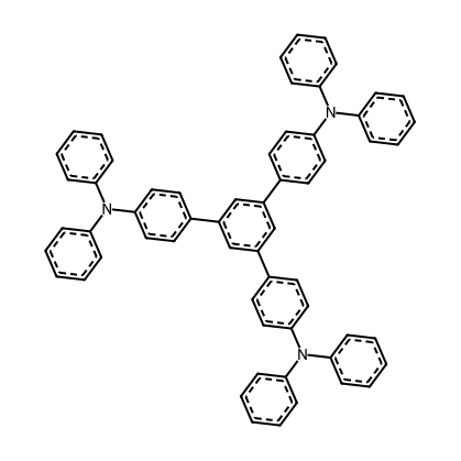 c1ccc(N(c2ccccc2)c2ccc(-c3cc(-c4ccc(N(c5ccccc5)c5ccccc5)cc4)cc(-c4ccc(N(c5ccccc5)c5ccccc5)cc4)c3)cc2)cc1